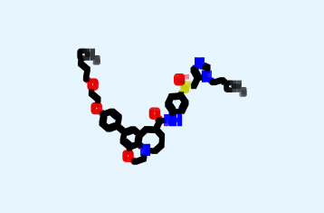 CCCCOCCOc1ccc(-c2cc3c4c(c2)OCCN4CCC/C(C(=O)Nc2ccc([S@@+]([O-])Cc4cncn4CCC)cc2)=C\3)cc1